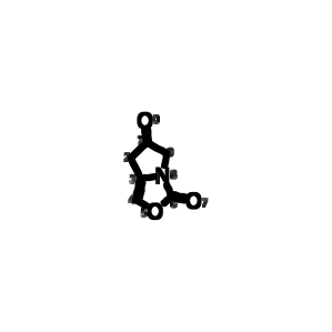 O=C1Cc2coc(=O)n2C1